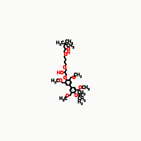 COCc1cc(-c2cc(COC)c(OC(C)(C)C)c(COC)c2)cc(COC)c1OCC(O)COCCCCOCC(O)CC(C)(C)C